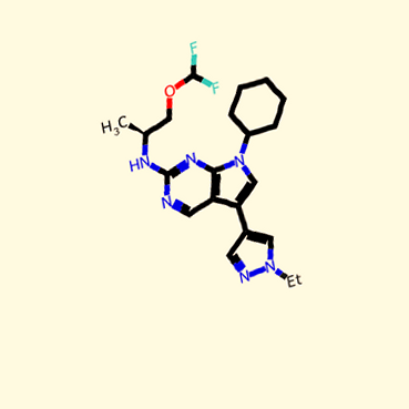 CCn1cc(-c2cn(C3CCCCC3)c3nc(N[C@@H](C)COC(F)F)ncc23)cn1